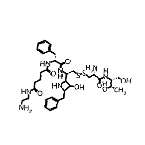 C[C@@H](O)[C@@H](CO)NC(=O)[C@@H](N)CSSC[C@H](NC(=O)[C@@H](Cc1ccccc1)NC(=O)CCCC(=O)NCCN)C1NC(Cc2ccccc2)C1O